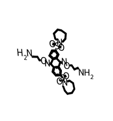 NCCCON=C1c2ccc(S(=O)(=O)N3CCCCCCC3)cc2C(=NOCCCN)c2cc(S(=O)(=O)N3CCCCCCC3)ccc21